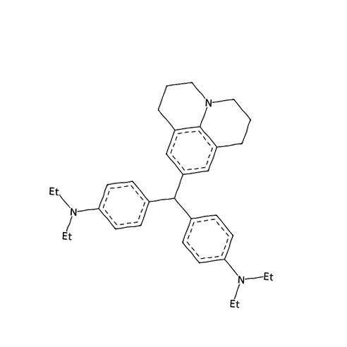 CCN(CC)c1ccc(C(c2ccc(N(CC)CC)cc2)c2cc3c4c(c2)CCCN4CCC3)cc1